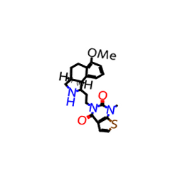 COc1cccc2c1CC[C@H]1CNC(CCn3c(=O)c4ccsc4n(C)c3=O)[C@@H]21